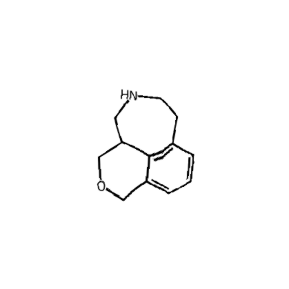 c1cc2c3c(c1)COCC3CNCC2